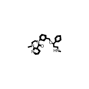 CNCCC(OCc1cccc(N2CCN(C)c3ncccc3C2=O)c1)c1ccccc1